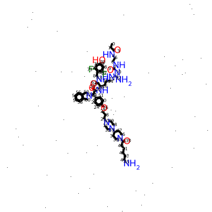 CCC(=O)NCCNC(=O)/N=C(/N)NCCC[C@@H](NC(=O)[C@H](c1ccc(OCCCN2CCN(C3CCN(C(=O)CCCCCN)CC3)CC2)cc1)N1Cc2ccccc2C1)C(=O)NCc1c(F)cc(O)cc1F